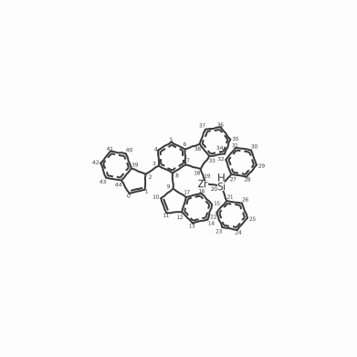 C1=CC(c2ccc3c(c2C2C=Cc4ccccc42)[CH]([Zr][SiH](c2ccccc2)c2ccccc2)c2ccccc2-3)c2ccccc21